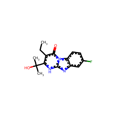 CCc1c(C(C)(C)O)[nH]c2nc3cc(F)ccc3n2c1=O